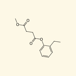 CCc1ccccc1OC(=O)CCC(=O)OC